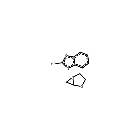 C1CN2CC2O1.Sc1nc2ccccc2s1